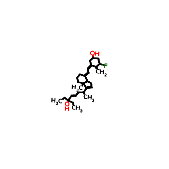 C=C1/C(=C\C=C2/CCCC3(C)C(C(C)C/C=C/C(O)(CC)CC)=CCC23)CC(O)CC1F